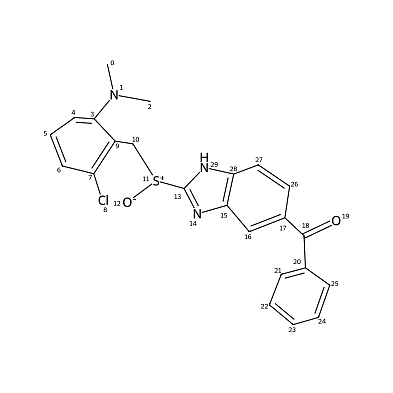 CN(C)c1cccc(Cl)c1C[S+]([O-])c1nc2cc(C(=O)c3ccccc3)ccc2[nH]1